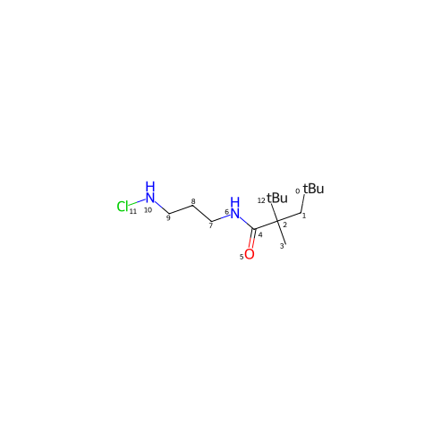 CC(C)(C)CC(C)(C(=O)NCCCNCl)C(C)(C)C